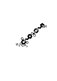 CC1(C)CC(=O)N(CCc2ccc(OC(=O)N3CCN(CCc4ccc[nH]4)CC3)cc2)C(=O)C1